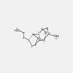 OCCC1CC2CC1C1C3CC(O)C(C3)C21